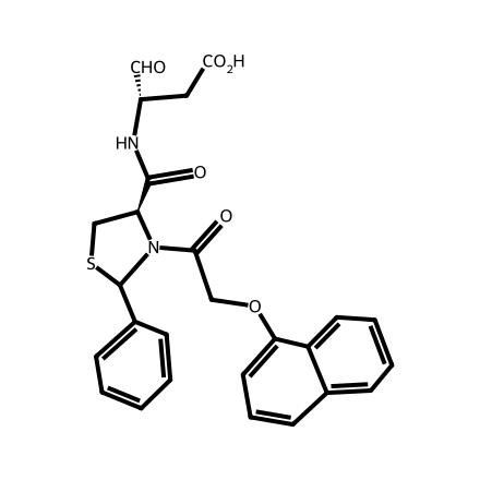 O=C[C@H](CC(=O)O)NC(=O)[C@@H]1CSC(c2ccccc2)N1C(=O)COc1cccc2ccccc12